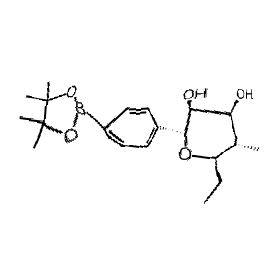 CC[C@H]1O[C@H](c2ccc(B3OC(C)(C)C(C)(C)O3)cc2)[C@@H](O)[C@@H](O)[C@@H]1C